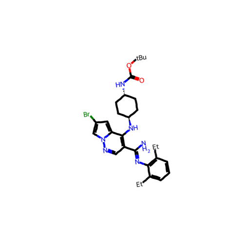 CCc1cccc(CC)c1/N=C(\N)c1cnn2cc(Br)cc2c1N[C@H]1CC[C@H](NC(=O)OC(C)(C)C)CC1